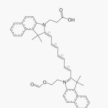 CC1(C)C(/C=C/C=C/C=C/C=C2/N(CCC(=O)O)c3ccc4ccccc4c3C2(C)C)=[N+](CCOC=O)c2ccc3ccccc3c21